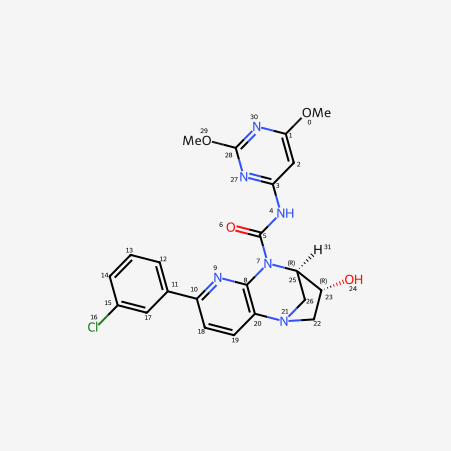 COc1cc(NC(=O)N2c3nc(-c4cccc(Cl)c4)ccc3N3C[C@@H](O)[C@H]2C3)nc(OC)n1